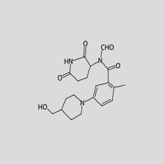 Cc1ccc(N2CCC(CO)CC2)cc1C(=O)N(C=O)C1CCC(=O)NC1=O